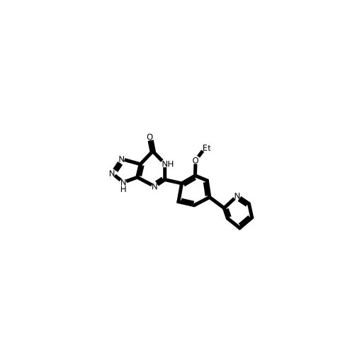 CCOc1cc(-c2ccccn2)ccc1-c1nc2[nH]nnc2c(=O)[nH]1